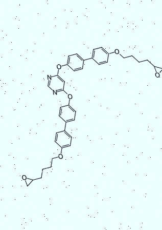 c1nc(Oc2ccc(-c3ccc(OCCCCC4CO4)cc3)cc2)cc(Oc2ccc(-c3ccc(OCCCCC4CO4)cc3)cc2)n1